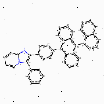 C1=CC2NC(c3ccc(-c4c5ccccc5c(-c5cccc6ccccc56)c5ccccc45)cc3)=C(c3ccccc3)N2C=C1